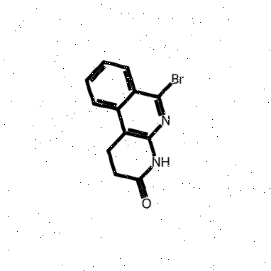 O=C1CCc2c(nc(Br)c3ccccc23)N1